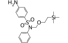 C[Si](C)(C)CCOCN(c1ccccc1)S(=O)(=O)c1ccc(N)cc1